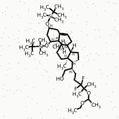 CCOC(C)OC(C)(C)C(F)(F)CC[C@@H](CO)[C@H]1CC[C@H]2[C@@H]3CC=C4C[C@@H](O[Si](C)(C)C(C)(C)C)C[C@H](O[Si](C)(C)C(C)(C)C)[C@]4(C)[C@H]3CC[C@]12C